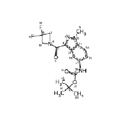 Cn1nc(C(=O)N2CC(F)(F)C2)c2cc(NC(=O)OC(C)(C)C)ccc21